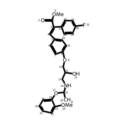 COC(=O)C(=Cc1ccc(OCC(O)CNC(C)Oc2ccccc2OC)cc1)c1ccc(F)cc1